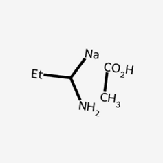 CC(=O)O.CC[CH](N)[Na]